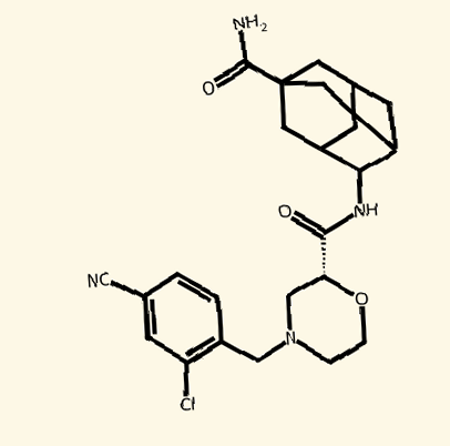 N#Cc1ccc(CN2CCO[C@@H](C(=O)NC3C4CC5CC3CC(C(N)=O)(C5)C4)C2)c(Cl)c1